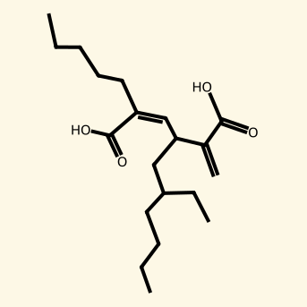 C=C(C(=O)O)C(C=C(CCCCC)C(=O)O)CC(CC)CCCC